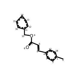 Cc1ccc(C=CC(=O)OCc2ccccc2)cc1